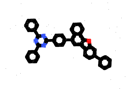 c1ccc(-c2ccc3c(c2)oc2c4ccccc4c(-c4ccc(-c5nc(-c6ccccc6)nc(-c6ccccc6)n5)cc4)cc32)cc1